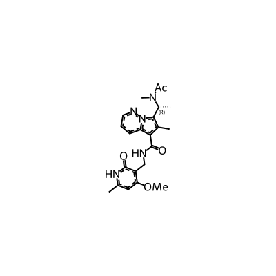 COc1cc(C)[nH]c(=O)c1CNC(=O)c1c(C)c([C@@H](C)N(C)C(C)=O)n2ncccc12